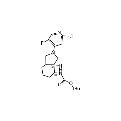 CC(C)(C)OC(=O)N[C@@H]1CCCC2CN(c3cc(Cl)ncc3F)C[C@H]21